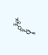 CC(C)(C)OC(=O)N[C@@H]1CC[C@@H](CNc2ccc(C#N)cn2)C1